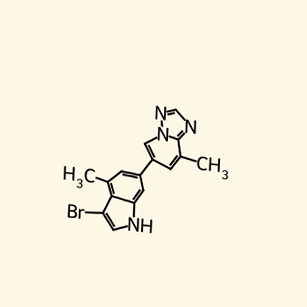 Cc1cc(-c2cc(C)c3ncnn3c2)cc2[nH]cc(Br)c12